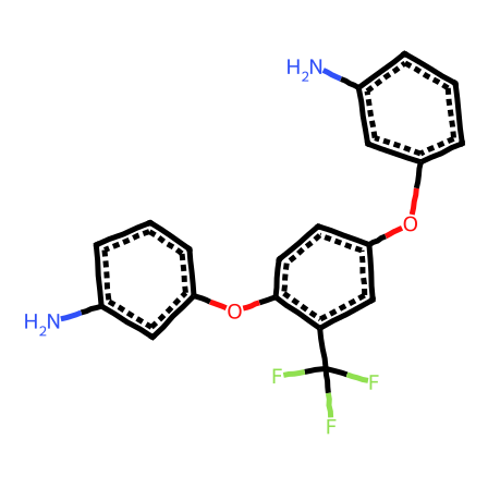 Nc1cccc(Oc2ccc(Oc3cccc(N)c3)c(C(F)(F)F)c2)c1